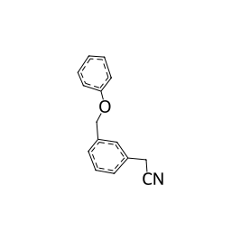 N#CCc1cccc(COc2ccccc2)c1